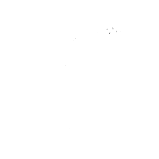 COSc1cc[c]cc1